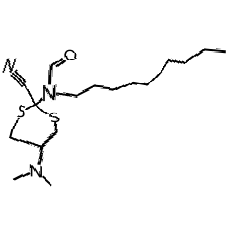 CCCCCCCCCN(C=O)C1(C#N)SCC(N(C)C)CS1